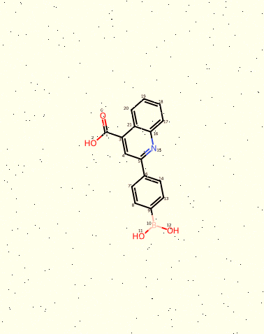 O=C(O)c1cc(-c2ccc(B(O)O)cc2)nc2ccccc12